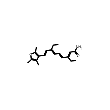 CCC(C=Cc1c(C)oc(C)c1C)=CC=CC(=CC(N)=O)CC